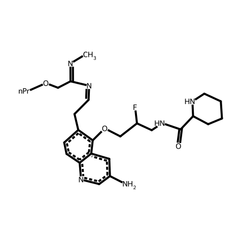 CCCOCC(/N=C\Cc1ccc2ncc(N)cc2c1OCC(F)CNC(=O)C1CCCCN1)=N/C